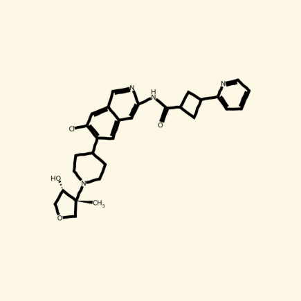 C[C@@]1(N2CCC(c3cc4cc(NC(=O)C5CC(c6ccccn6)C5)ncc4cc3Cl)CC2)COC[C@@H]1O